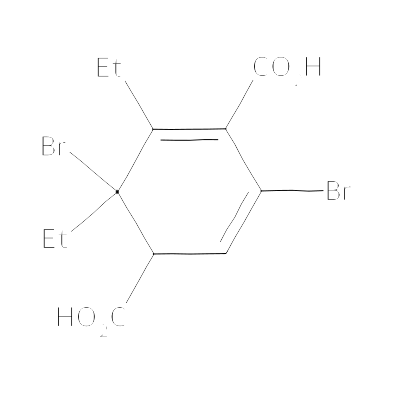 CCC1=C(C(=O)O)C(Br)=CC(C(=O)O)C1(Br)CC